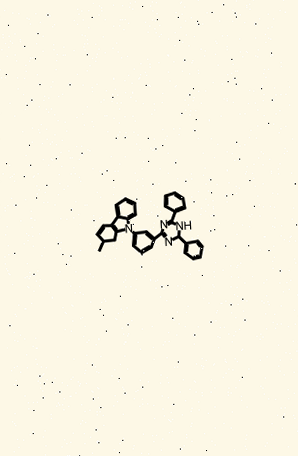 CC1C=Cc2c(n(-c3cccc(C4=NC(c5ccccc5)NC(c5ccccc5)=N4)c3)c3ccccc23)C1